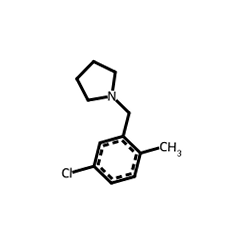 Cc1ccc(Cl)cc1CN1CCCC1